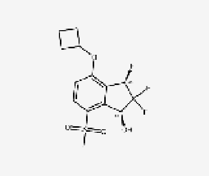 CS(=O)(=O)c1ccc(OC2CCC2)c2c1[C@H](O)C(F)(F)[C@@H]2F